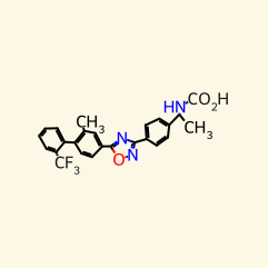 Cc1cc(-c2nc(-c3ccc(C(C)NC(=O)O)cc3)no2)ccc1-c1ccccc1C(F)(F)F